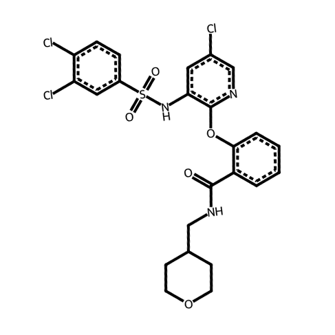 O=C(NCC1CCOCC1)c1ccccc1Oc1ncc(Cl)cc1NS(=O)(=O)c1ccc(Cl)c(Cl)c1